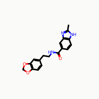 Cc1nc2cc(C(=O)NCCc3ccc4c(c3)OCO4)ccc2[nH]1